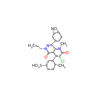 C=CCn1nc(-c2cccc([N+](=O)[O-])c2)c2c(c(-c3cc(S(=O)(=O)O)ccc3C)c(Cl)c(=O)n2C)c1=O